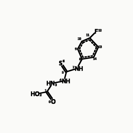 O=C(O)NNC(=S)Nc1ccc(F)cc1